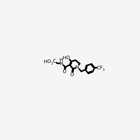 O=C(O)CNC(=O)C1=C(O)CCN(Cc2ccc(C(F)(F)F)cc2)C1=O